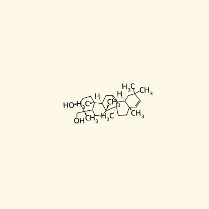 CC1(C)C=C[C@]2(C)CC[C@]3(C)C(=CC[C@@H]4[C@@]5(C)CC[C@H](O)[C@@](C)(CO)C5CC[C@]43C)[C@H]2C1